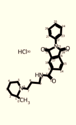 CC1CCCCN1CCCNC(=O)c1ccc2c(c1)C(=O)N(c1ccccc1)C2=O.Cl